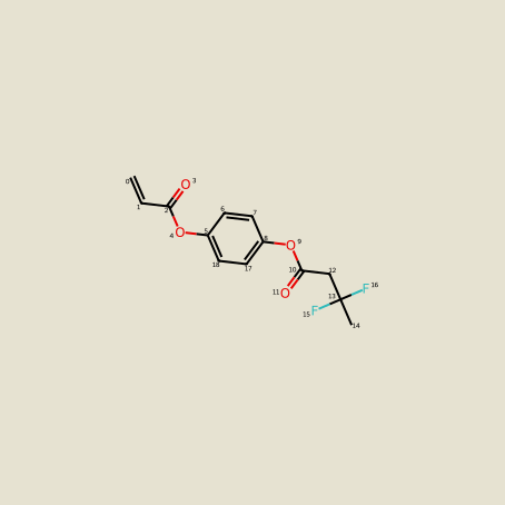 C=CC(=O)Oc1ccc(OC(=O)CC(C)(F)F)cc1